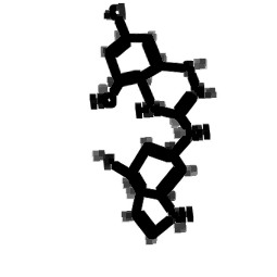 Oc1cc(Cl)cc2c1NC(Nc1cc(F)c3cc[nH]c3c1)=NS2